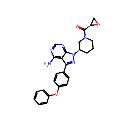 Nc1ncnc2c1c(-c1ccc(Oc3ccccc3)cc1)nn2[C@@H]1CCCN(C(=O)[C@H]2CO2)C1